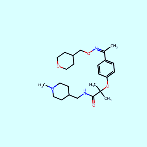 CC(=NOCC1CCOCC1)c1ccc(OC(C)(C)C(=O)NCC2CCN(C)CC2)cc1